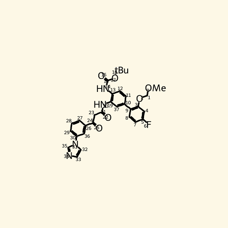 COCOc1cc(F)ccc1-c1ccc(NC(=O)OC(C)(C)C)c(NC(=O)CC(=O)c2cccc(-n3ccnc3)c2)c1